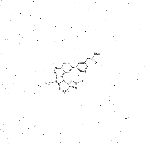 CNC(=O)Cc1cncc(-c2ccc3ncc4c(c3c2)n(-c2cn(C)nc2C)c(=O)n4C)c1